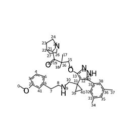 COc1cccc(CCNCC2(c3c(OCC(C)(C)C(=O)C4C5CCN4CC5)n[nH]c3-c3cc(C)cc(C)c3)CC2)c1